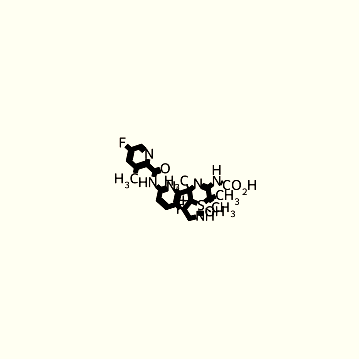 Cc1cc(F)cnc1C(=O)Nc1ccc(F)c([C@@]2(C)N=C(NC(=O)O)C(C)(C)[S@@]3(O)NCC[C@@H]23)n1